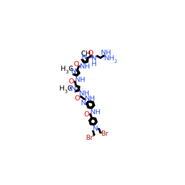 Cn1cc(NC(=O)c2cc(NC(=O)c3cc(NC(=O)c4nc5cc(NC(=O)c6ccc(N(CCBr)CCBr)cc6)ccc5[nH]4)cn3C)cn2C)cc1C(=O)NCCC(=N)N